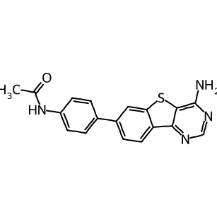 CC(=O)Nc1ccc(-c2ccc3c(c2)sc2c(N)ncnc23)cc1